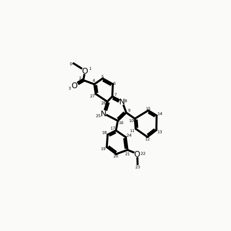 COC(=O)c1ccc2nc(-c3ccccc3)c(-c3cccc(OC)c3)nc2c1